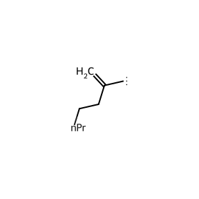 [C]C(=C)CCCCC